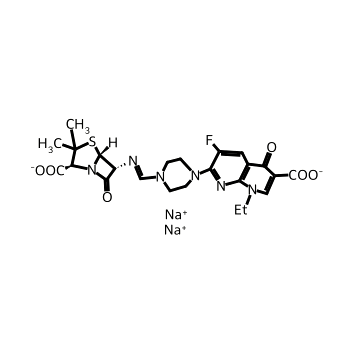 CCn1cc(C(=O)[O-])c(=O)c2cc(F)c(N3CCN(C=N[C@@H]4C(=O)N5[C@@H]4SC(C)(C)[C@@H]5C(=O)[O-])CC3)nc21.[Na+].[Na+]